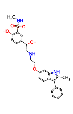 CNS(=O)(=O)c1cc(C(O)CNCCOc2ccc3c(-c4ccccc4)c(C)[nH]c3c2)ccc1O